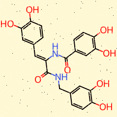 O=C(NCc1ccc(O)c(O)c1)C(=Cc1ccc(O)c(O)c1)NC(=O)c1ccc(O)c(O)c1